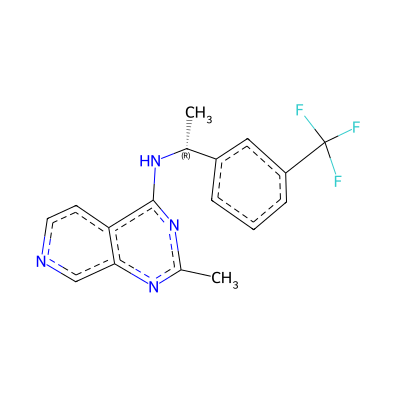 Cc1nc(N[C@H](C)c2cccc(C(F)(F)F)c2)c2ccncc2n1